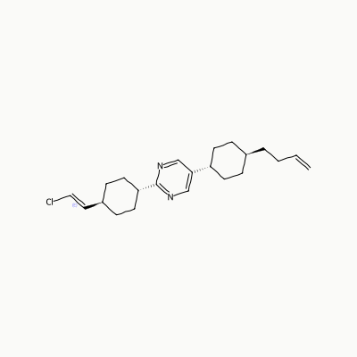 C=CCC[C@H]1CC[C@H](c2cnc([C@H]3CC[C@H](/C=C/Cl)CC3)nc2)CC1